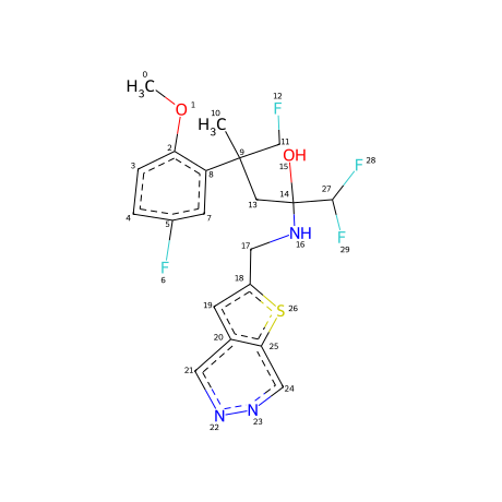 COc1ccc(F)cc1C(C)(CF)CC(O)(NCc1cc2cnncc2s1)C(F)F